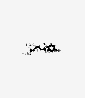 Cn1c(CC[C@H](NC(=O)OC(C)(C)C)C(=O)O)nc2cc(N)ccc21